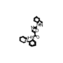 O=C(Nc1ccccc1N1CCCCC1)c1cnc(-n2ncc3ccccc32)o1